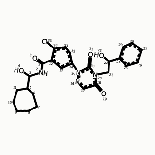 O=C(NC(O)C1CCCCCC1)c1cc(-n2ncc(=O)n(CC(O)c3ccccc3)c2=O)ccc1Cl